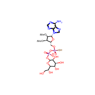 CO[C@@H]1[C@H](OC)[C@@H](COP(=O)(S)OP(=O)(O)O[C@@H]2O[C@H]([C@H](O)CO)[C@@H](O)[C@H](O)[C@@H]2O)O[C@H]1n1cnc2c(N)ncnc21